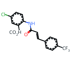 O=C(C=Cc1ccc(C(F)(F)F)cc1)Nc1ccc(Cl)cc1C(=O)O